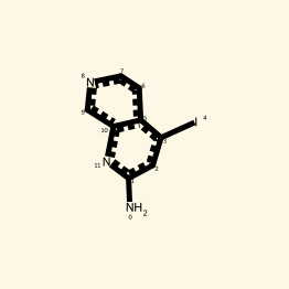 Nc1cc(I)c2ccncc2n1